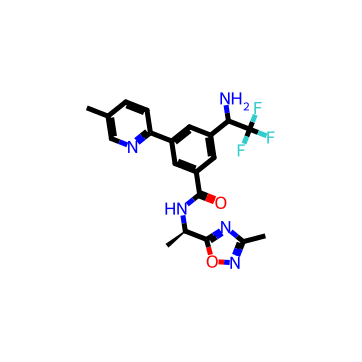 Cc1ccc(-c2cc(C(=O)N[C@H](C)c3nc(C)no3)cc(C(N)C(F)(F)F)c2)nc1